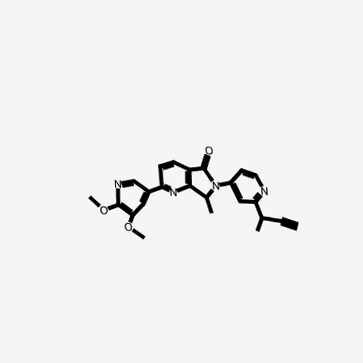 C#CC(C)c1cc(N2C(=O)c3ccc(-c4cnc(OC)c(OC)c4)nc3C2C)ccn1